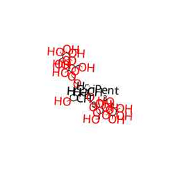 CCC[C@@H](C)[C@H]1CC[C@H]2[C@@H]3[C@H](OCCO[C@@H]4OC(CO)[C@@H](O[C@H]5OC(CO)[C@@H](O)[C@H](O)C5O)[C@H](O)C4O)C[C@@H]4C[C@H](O)CC[C@]4(C)[C@H]3C[C@H](OCCO[C@@H]3OC(CO)[C@@H](O[C@H]4OC(CO)[C@@H](O)[C@H](O)C4O)[C@H](O)C3O)[C@]12C